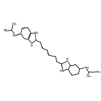 CC(C)(C)C(O)NC1CCC2=C(C1)NC(CCCCCCC1NC3CCC(NC(O)C(C)(C)C)CC3N1)N2